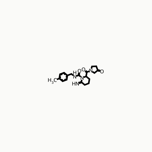 Cc1ccc(CNC(=O)N2C(=N)CCCC2C(=O)N2CCC(=O)C2)cc1